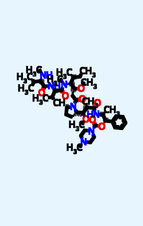 CC[C@H](C)[C@@H]([C@@H](CC(=O)N1CCC[C@H]1[C@H](OC)[C@@H](C)C(=O)N[C@H](C)[C@@H](OC(=O)N1CCN(C)CC1)c1ccccc1)OC)N(C)C(=O)[C@@H](NC(=O)[C@@H](NC)C(C)C)C(C)C